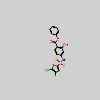 O=C(Oc1ccccc1)c1ccc(NS(=O)(=O)c2cc(Cl)c(Cl)s2)cc1O